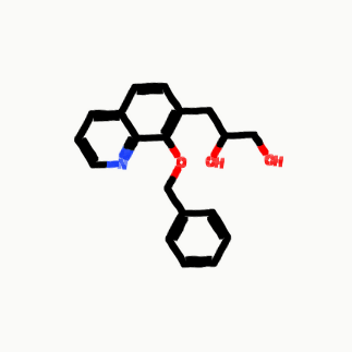 OCC(O)Cc1ccc2cccnc2c1OCc1ccccc1